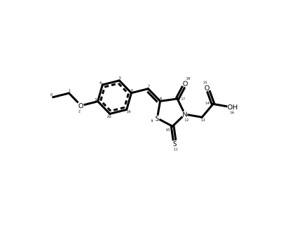 CCOc1ccc(/C=C2\SC(=S)N(CC(=O)O)C2=O)cc1